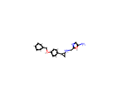 Nc1cnc(CNC2CC2c2ccc(OCc3ccccc3)cc2)o1